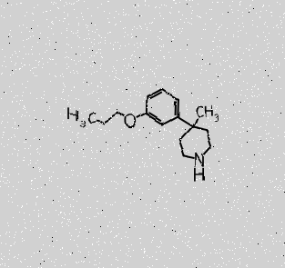 CCCOc1cccc(C2(C)CCNCC2)c1